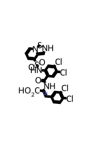 O=C(O)/C(=C/c1ccc(Cl)c(Cl)c1)NC(=O)c1cc(Cl)c(Cl)cc1NS(=O)(=O)C1=CC=CN2SNC=C12